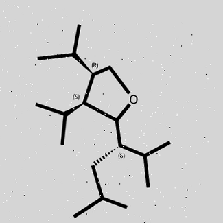 CC(C)C[C@@H](C(C)C)C1OC[C@H](C(C)C)[C@@H]1C(C)C